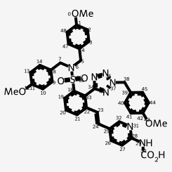 COc1ccc(CN(Cc2ccc(OC)cc2)S(=O)(=O)c2cccc(C=Cc3ccc(NC(=O)O)nc3)c2-c2nnn(Cc3ccc(OC)cc3)n2)cc1